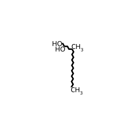 CCCCCCCCCCCCCCCC(C)CCC(O)CO